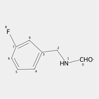 O=[C]NCc1cccc(F)c1